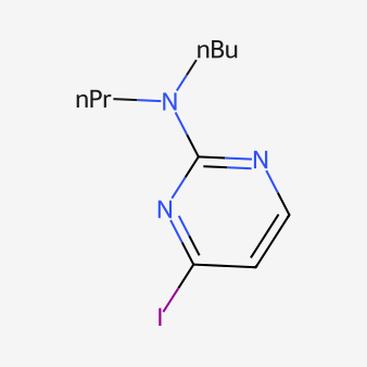 CCCCN(CCC)c1nccc(I)n1